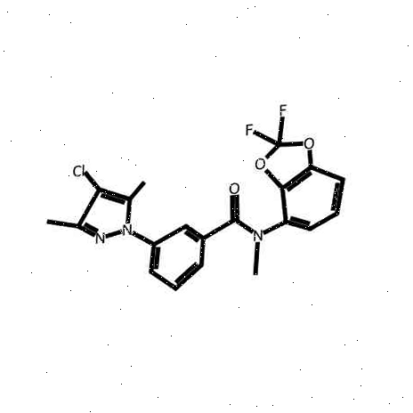 Cc1nn(-c2cccc(C(=O)N(C)c3cccc4c3OC(F)(F)O4)c2)c(C)c1Cl